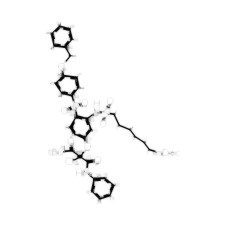 CCCCCCCCCCCCCCCCS(=O)(=O)Nc1cc(OC(Cl)(C(=O)Nc2ccccc2)C(=O)C(C)(C)C)ccc1S(=O)(=O)c1ccc(OCc2ccccc2)cc1